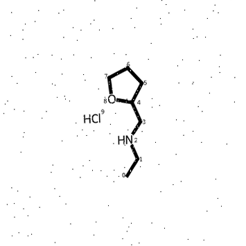 CCNCC1CCCO1.Cl